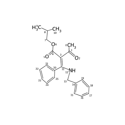 CC(=O)/C(C(=O)OCC(C)C)=C(\NCc1ccccc1)c1ccccc1